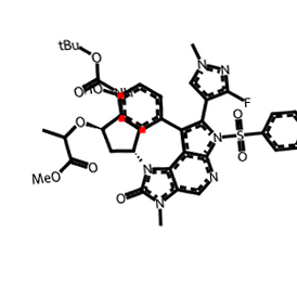 COC(=O)C(C)O[C@@H]1C[C@@H](n2c(=O)n(C)c3cnc4c(c(-c5ccc(O)cc5)c(-c5cn(C)nc5F)n4S(=O)(=O)c4ccccc4)c32)C[C@@H]1NC(=O)OC(C)(C)C